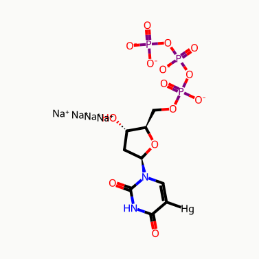 O=c1[nH]c(=O)n([C@H]2C[C@H](O)[C@@H](COP(=O)([O-])OP(=O)([O-])OP(=O)([O-])[O-])O2)c[c]1[Hg].[Na+].[Na+].[Na+].[Na+]